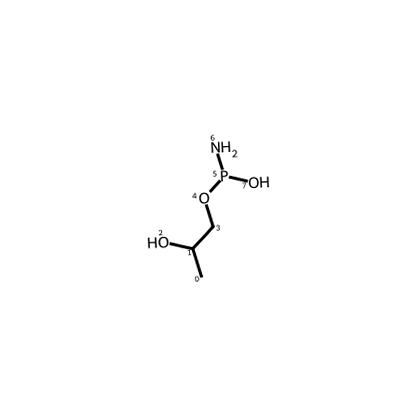 CC(O)COP(N)O